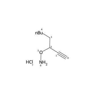 C#CC(CCCCC)ON.Cl